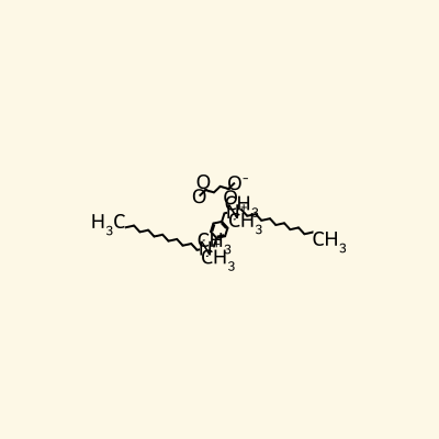 CCCCCCCCCCCC[N+](C)(C)Cc1ccc(C[N+](C)(C)CCCCCCCCCCCC)cc1.O=C([O-])CCC(=O)[O-]